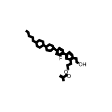 C=C(C)C(=O)OCCCc1cc(-c2ccc(C3CCC(C4CCC(CCCCC)CC4)CC3)cc2F)ccc1CCO